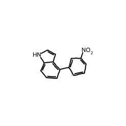 O=[N+]([O-])c1cc[c]c(-c2cccc3[nH]ccc23)c1